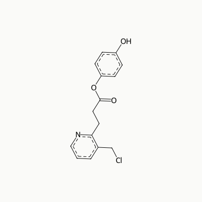 O=C(CCc1ncccc1CCl)Oc1ccc(O)cc1